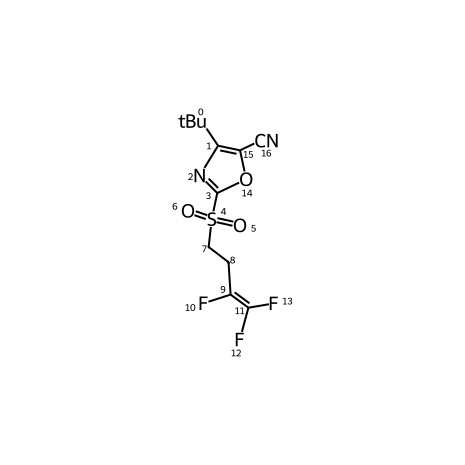 CC(C)(C)c1nc(S(=O)(=O)CCC(F)=C(F)F)oc1C#N